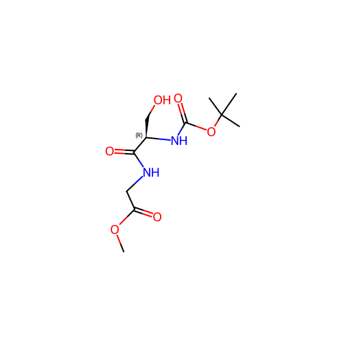 COC(=O)CNC(=O)[C@@H](CO)NC(=O)OC(C)(C)C